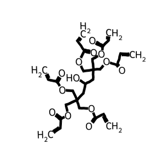 C=CC(=O)OCC(COC(=O)C=C)(COC(=O)C=C)CC(O)CC(COC(=O)C=C)(COC(=O)C=C)COC(=O)C=C